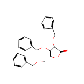 C[C@]1(OCc2ccccc2)C(=O)O[C@H](COCc2ccccc2)C1OCc1ccccc1